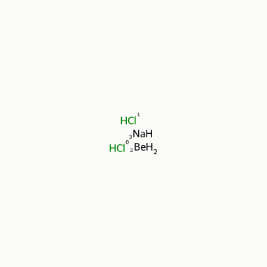 Cl.Cl.[BeH2].[NaH]